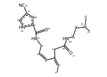 C/C=C(\C=C/CNC(=O)c1nc(C#N)c[nH]1)CC(=O)NCCN(C)C